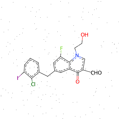 O=Cc1cn(CCO)c2c(F)cc(Cc3cccc(I)c3Cl)cc2c1=O